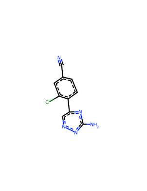 N#Cc1ccc(-c2cnnc(N)n2)c(Cl)c1